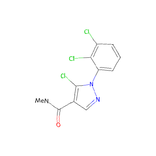 CNC(=O)c1cnn(-c2cccc(Cl)c2Cl)c1Cl